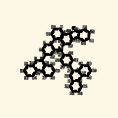 c1ccc(-c2ccc(-c3cc4ccccc4c4ccccc34)cc2N(c2ccc(-c3cc4ccccc4c4ccccc34)cc2)c2ccc3sc4ccccc4c3c2)cc1